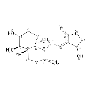 C=C1CC[C@@H]2[C@@H](C)[C@H](O)CC[C@@]2(C)[C@@H]1CC=C1C(=O)OCC1O